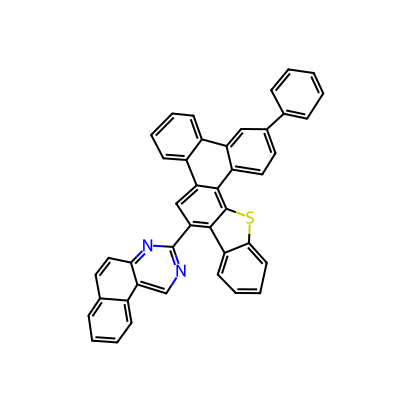 c1ccc(-c2ccc3c(c2)c2ccccc2c2cc(-c4ncc5c(ccc6ccccc65)n4)c4c5ccccc5sc4c32)cc1